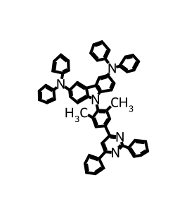 Cc1cc(-c2cc(-c3ccccc3)nc(-c3ccccc3)n2)cc(C)c1-n1c2ccc(N(c3ccccc3)c3ccccc3)cc2c2cc(N(c3ccccc3)c3ccccc3)ccc21